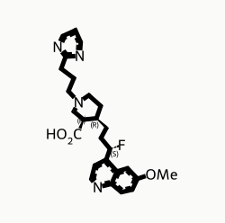 COc1ccc2nccc([C@@H](F)CC[C@@H]3CCN(CCCc4ncccn4)C[C@@H]3C(=O)O)c2c1